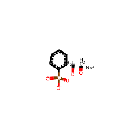 C=O.C=O.O=S(=O)([O-])c1ccccc1.[Na+]